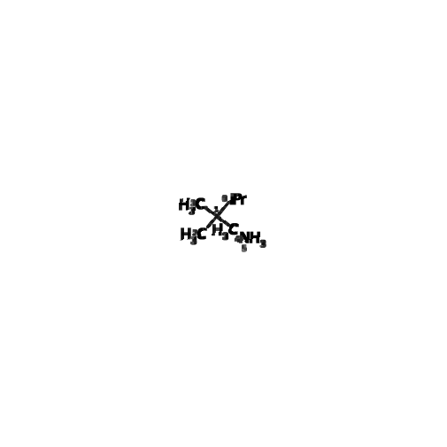 CC(C)C(C)(C)C.N